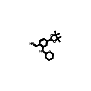 CC1(C)OB(c2ccc(C=N)c(NC3CCCCO3)c2)OC1(C)C